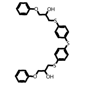 OC(COc1ccccc1)CSc1ccc(Sc2ccc(SCC(O)COc3ccccc3)cc2)cc1